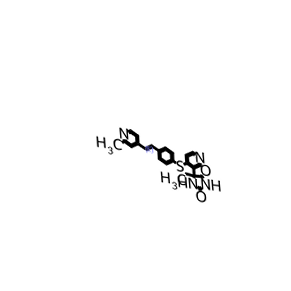 CCC1(c2cnccc2Sc2ccc(/C=C/c3ccnc(C)c3)cc2)NC(=O)NC1=O